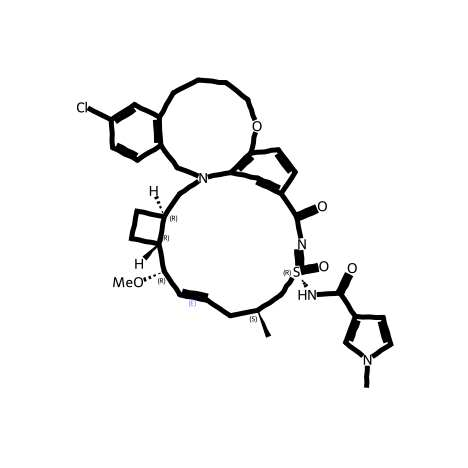 CO[C@H]1/C=C/C[C@H](C)C[S@@](=O)(NC(=O)c2ccn(C)c2)=NC(=O)c2ccc3c(c2)N(Cc2ccc(Cl)cc2CCCCO3)C[C@@H]2CC[C@H]21